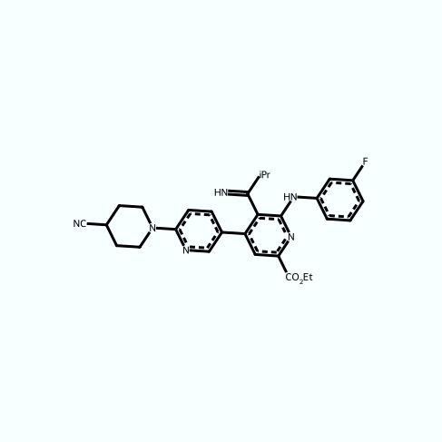 CCOC(=O)c1cc(-c2ccc(N3CCC(C#N)CC3)nc2)c(C(=N)C(C)C)c(Nc2cccc(F)c2)n1